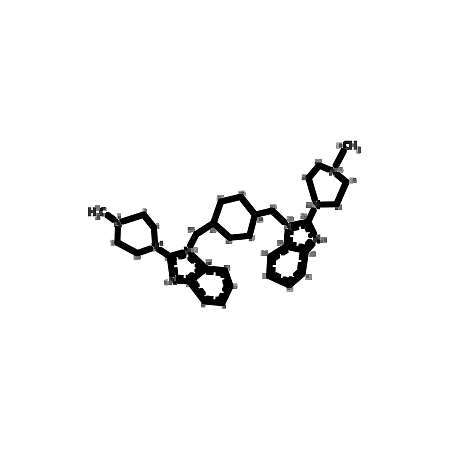 CN1CCN(c2nc3ccccc3n2CC2CCC(Cn3c(N4CCN(C)CC4)nc4ccccc43)CC2)CC1